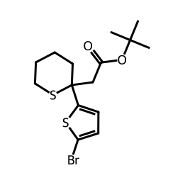 CC(C)(C)OC(=O)CC1(c2ccc(Br)s2)CCCCS1